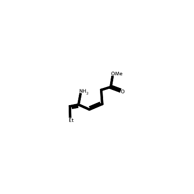 CC/C=C(N)\C=C/CC(=O)OC